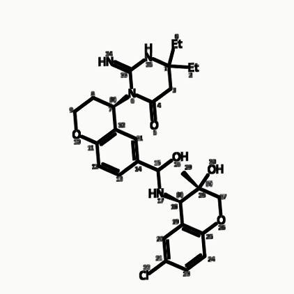 CCC1(CC)CC(=O)N([C@@H]2CCOc3ccc(C(O)N[C@@H]4c5cc(Cl)ccc5OC[C@@]4(C)O)cc32)C(=N)N1